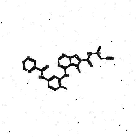 COC[C@H](C)NC(=O)c1cn2ncnc(Nc3cc(NC(=O)c4cnccn4)ccc3C)c2c1C